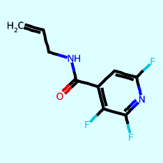 C=CCNC(=O)c1cc(F)nc(F)c1F